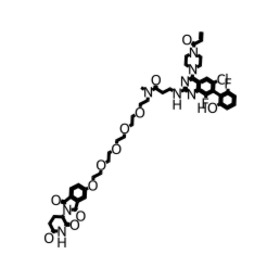 C=CC(=O)N1CCN(c2nc(NCCC(=O)N(C)CCOCCOCCOCCOCCOc3ccc4c(c3)C(=O)N(C3CCC(=O)NC3=O)C4=O)nc3c(F)c(-c4c(O)cccc4F)c(Cl)cc23)CC1